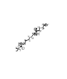 CC(C)(C)OC(=O)NCCCCCCNC(=O)CCCCBr